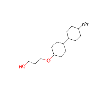 CCCC1CCC(C2CCC(OCCCO)CC2)CC1